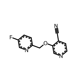 N#Cc1ccncc1OCc1ccc(F)cn1